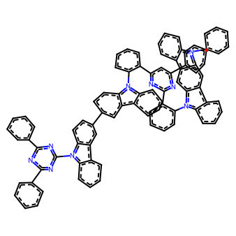 c1ccc(-c2cc(-c3ccccc3-n3c4ccccc4c4cc(-c5ccc6c(c5)c5ccccc5n6-c5nc(-c6ccccc6)nc(-c6ccccc6)n5)ccc43)nc(-c3ccccc3-n3c4ccccc4c4cc5c(cc43)c3ccccc3n5-c3ccccc3)n2)cc1